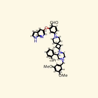 COc1cc(CN2CCN(C3CC4(CCN(c5ccc(C=O)c(Oc6cnc7[nH]ccc7c6)c5)CC4)C3)C(c3ccccc3C(C)C)C2)cc(OC)c1